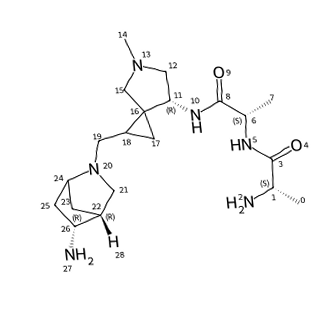 C[C@H](N)C(=O)N[C@@H](C)C(=O)N[C@H]1CN(C)CC12CC2CN1C[C@H]2CC1C[C@H]2N